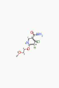 COCCOc1ncc(C(N)=O)c(Cl)c1F